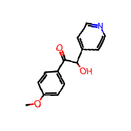 COc1ccc(C(=O)C(O)c2ccncc2)cc1